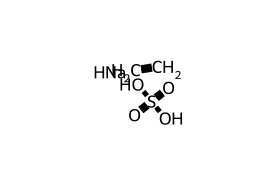 C=C.O=S(=O)(O)O.[NaH]